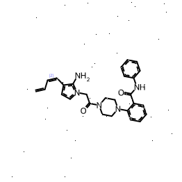 C=C/C=C\c1ccn(CC(=O)N2CCN(c3ccccc3C(=O)Nc3ccccc3)CC2)c1N